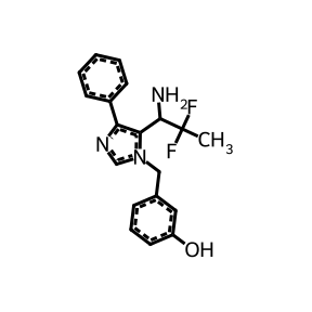 CC(F)(F)C(N)c1c(-c2ccccc2)ncn1Cc1cccc(O)c1